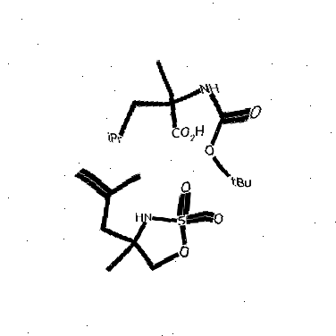 C=C(C)CC1(C)COS(=O)(=O)N1.CC(C)CC(C)(NC(=O)OC(C)(C)C)C(=O)O